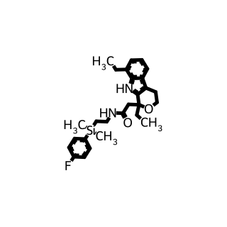 CCc1cccc2c3c([nH]c12)C(CC)(CC(=O)NCC[Si](C)(C)c1ccc(F)cc1)OCC3